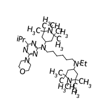 CCN(CCCCCCN(c1nc(C(C)C)nc(N2CCOCC2)n1)C1CC(C)(C)N(C)C(C)(C)C1)C1CC(C)(C)N(C)C(C)(C)C1